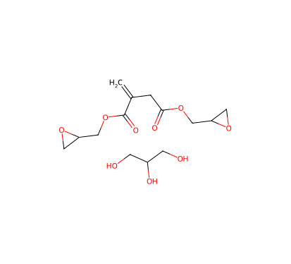 C=C(CC(=O)OCC1CO1)C(=O)OCC1CO1.OCC(O)CO